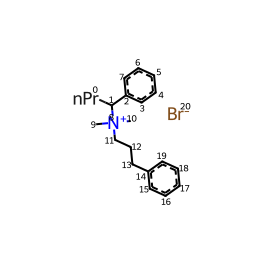 CCCC(c1ccccc1)[N+](C)(C)CCCc1ccccc1.[Br-]